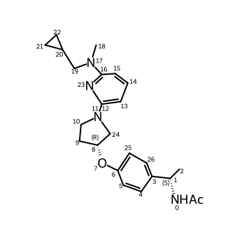 CC(=O)N[C@@H](C)c1ccc(O[C@@H]2CCN(c3cccc(N(C)CC4CC4)n3)C2)cc1